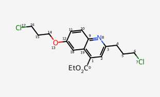 CCOC(=O)c1cc(CCCCl)nc2ccc(OCCCCl)cc12